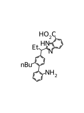 CCCCc1cc(C(CC)c2nc3cccc(C(=O)O)c3[nH]2)ccc1-c1ccccc1N